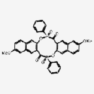 COc1ccc2cc3c(cc2c1)C(=O)P(=O)(c1ccccc1)Oc1cc2ccc(OC)cc2cc1C(=O)P(=O)(c1ccccc1)O3